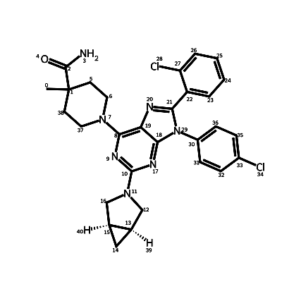 CC1(C(N)=O)CCN(c2nc(N3C[C@H]4C[C@H]4C3)nc3c2nc(-c2ccccc2Cl)n3-c2ccc(Cl)cc2)CC1